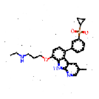 CCNCCCOc1ccc(-c2cccc(S(=O)(=O)C3CC3)c2)c2c1[nH]c1ncc(C)cc12